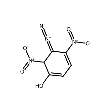 [N-]=[N+]=C1C([N+](=O)[O-])=CC=C(O)C1[N+](=O)[O-]